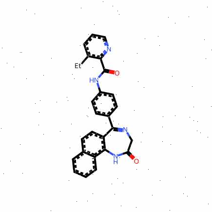 CCc1cccnc1C(=O)Nc1ccc(C2=NCC(=O)Nc3c2ccc2ccccc32)cc1